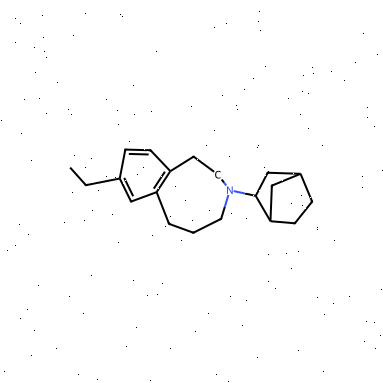 CCc1ccc2c(c1)CCCN(C1CC3CCC1C3)CC2